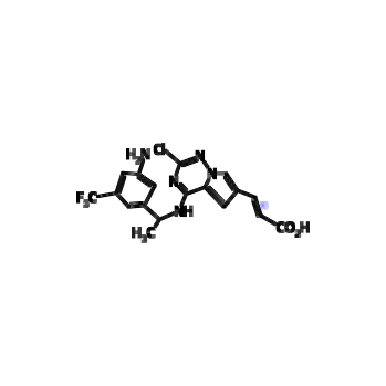 CC(Nc1nc(Cl)nn2cc(/C=C/C(=O)O)cc12)c1cc(N)cc(C(F)(F)F)c1